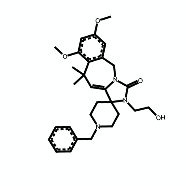 COc1cc2c(c(OC)c1)C(C)(C)C=C1N(C2)C(=O)N(CCO)C12CCN(Cc1ccccc1)CC2